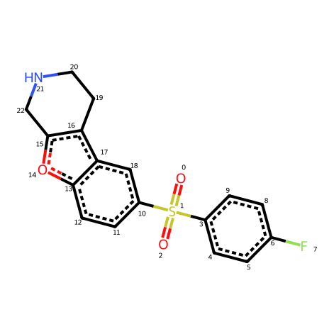 O=S(=O)(c1ccc(F)cc1)c1ccc2oc3c(c2c1)CCNC3